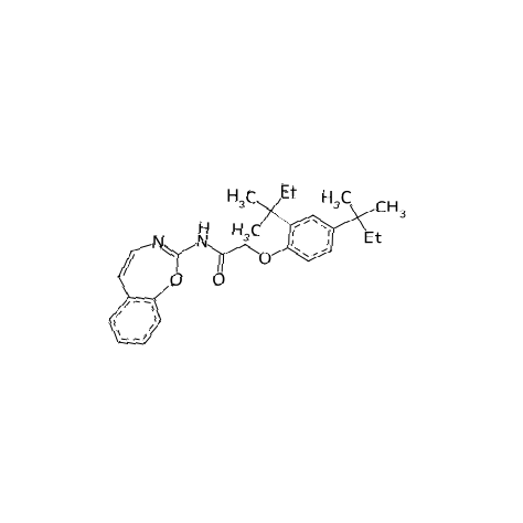 CCC(C)(C)c1ccc(OCC(=O)NC2=NC=Cc3ccccc3O2)c(C(C)(C)CC)c1